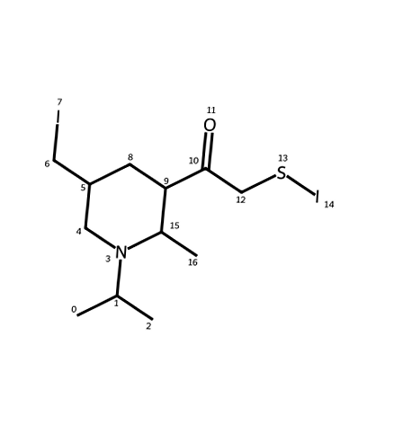 CC(C)N1CC(CI)CC(C(=O)CSI)C1C